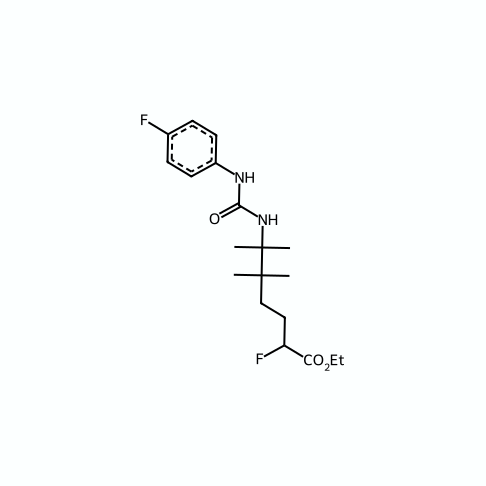 CCOC(=O)C(F)CCC(C)(C)C(C)(C)NC(=O)Nc1ccc(F)cc1